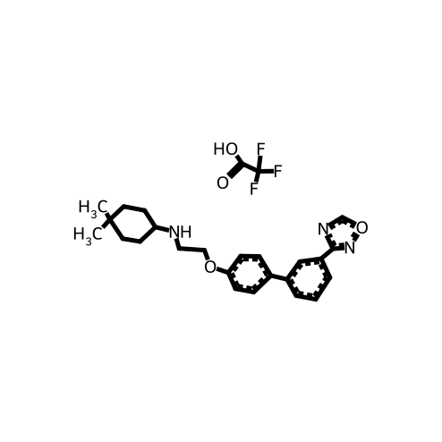 CC1(C)CCC(NCCOc2ccc(-c3cccc(-c4ncon4)c3)cc2)CC1.O=C(O)C(F)(F)F